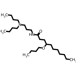 CCCCCCCC(CCC(=O)NCCCN(CCCC)CCCC)OCCCC